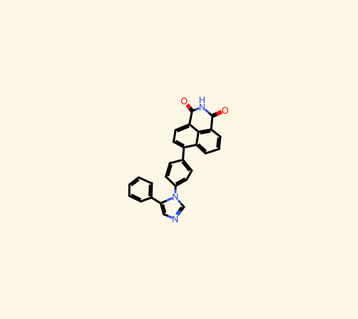 O=C1NC(=O)c2ccc(-c3ccc(-n4cncc4-c4ccccc4)cc3)c3cccc1c23